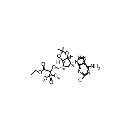 CCOC(=O)C(OC[C@H]1C[C@@H](n2nnc3c(N)nc(Cl)nc32)[C@@H]2OC(C)(C)O[C@H]12)P(=O)(OC)OC